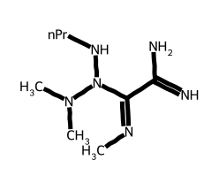 CCCNN(/C(=N\C)C(=N)N)N(C)C